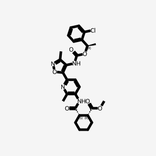 COC(=O)[C@@H]1CCCC[C@@H]1C(=O)Nc1ccc(-c2onc(C)c2NC(=O)O[C@H](C)c2ccccc2Cl)nc1C